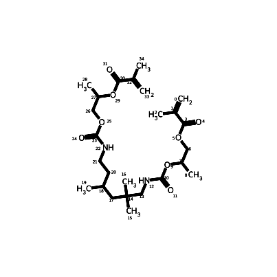 C=C(C)C(=O)OCC(C)OC(=O)NCC(C)(C)CC(C)CCNC(=O)OCC(C)OC(=O)C(=C)C